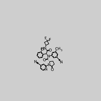 Cc1cc(C#N)cc(N(C(=O)[C@@H]2CCC(=O)N2c2cc(C#N)ccn2)[C@H](C(=O)NC2CC(F)(F)C2)c2ccccc2Cl)c1